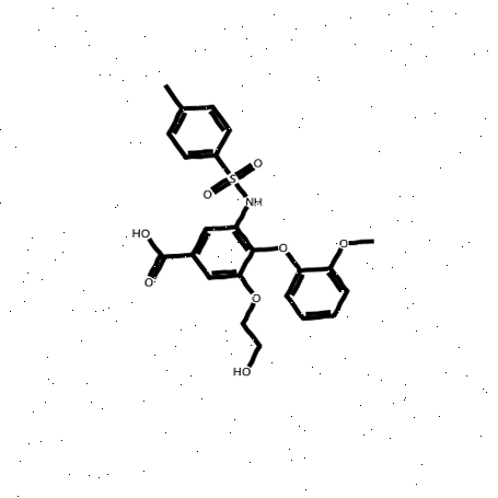 COc1ccccc1Oc1c(NS(=O)(=O)c2ccc(C)cc2)cc(C(=O)O)cc1OCCO